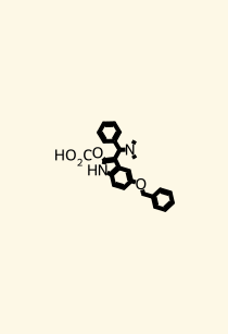 CN(C)C(c1ccccc1)c1c(OC(=O)O)[nH]c2ccc(OCc3ccccc3)cc12